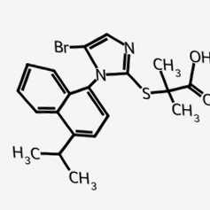 CC(C)c1ccc(-n2c(Br)cnc2SC(C)(C)C(=O)O)c2ccccc12